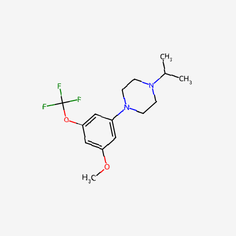 COc1cc(OC(F)(F)F)cc(N2CCN(C(C)C)CC2)c1